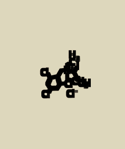 C#CC(I)[N+](CC)(CC)Cc1c(Cl)cc(Cl)cc1Cl.[Cl-]